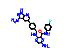 Nc1cnc(NCc2ccc(-c3cnc4[nH]nc(N)c4c3)cc2)c(C(=O)Nc2ccc(F)cc2)n1